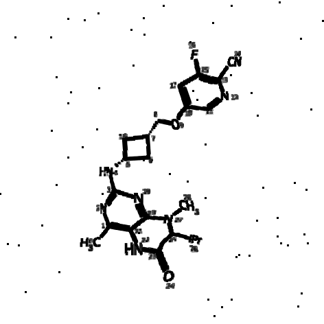 Cc1nc(N[C@H]2C[C@@H](COc3cnc(C#N)c(F)c3)C2)nc2c1NC(=O)C(C(C)C)N2C